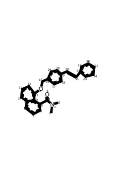 CN(C)C(=O)c1cccc2cccc(OCc3ccc(C=Cc4ccccc4)cc3)c12